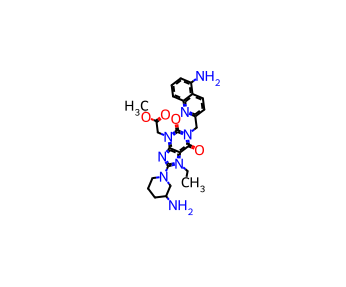 CCn1c(N2CCCC(N)C2)nc2c1c(=O)n(Cc1ccc3c(N)cccc3n1)c(=O)n2CC(=O)OC